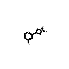 O=S1(=O)CC(c2cccc(Br)c2)C1